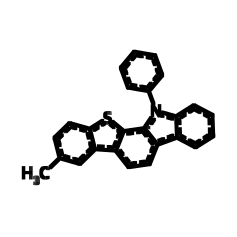 Cc1ccc2sc3c(ccc4c5ccccc5n(-c5ccccc5)c43)c2c1